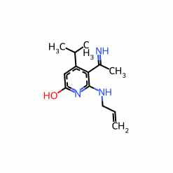 C=CCNc1nc(O)cc(C(C)C)c1C(C)=N